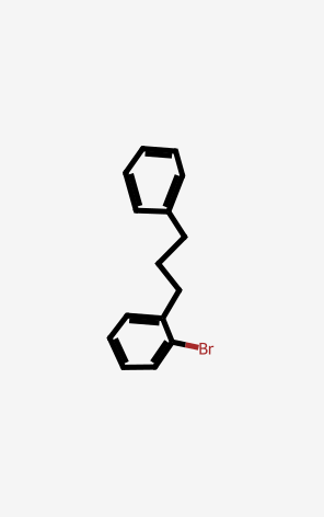 Brc1ccccc1CCCc1ccccc1